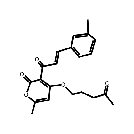 CC(=O)CCCOc1cc(C)oc(=O)c1C(=O)C=Cc1cccc(C)c1